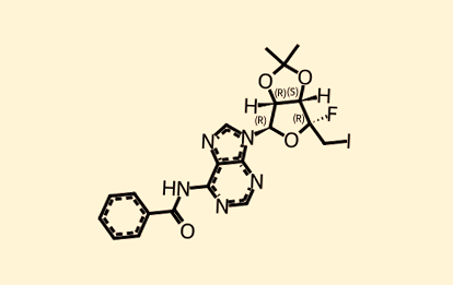 CC1(C)O[C@H]2[C@H](n3cnc4c(NC(=O)c5ccccc5)ncnc43)O[C@](F)(CI)[C@H]2O1